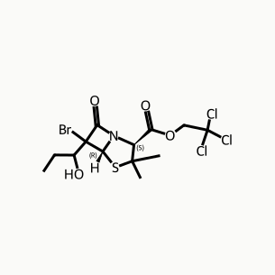 CCC(O)C1(Br)C(=O)N2[C@@H](C(=O)OCC(Cl)(Cl)Cl)C(C)(C)S[C@@H]21